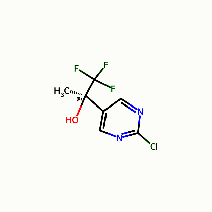 C[C@@](O)(c1cnc(Cl)nc1)C(F)(F)F